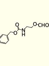 O=[C]OCCNC(=O)OCc1ccccc1